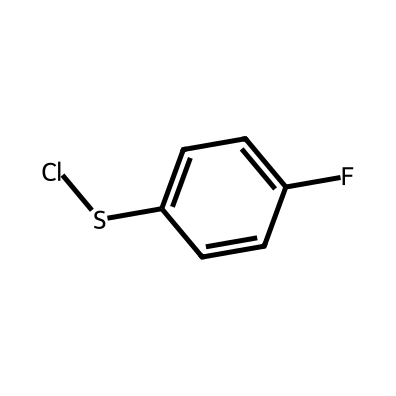 Fc1ccc(SCl)cc1